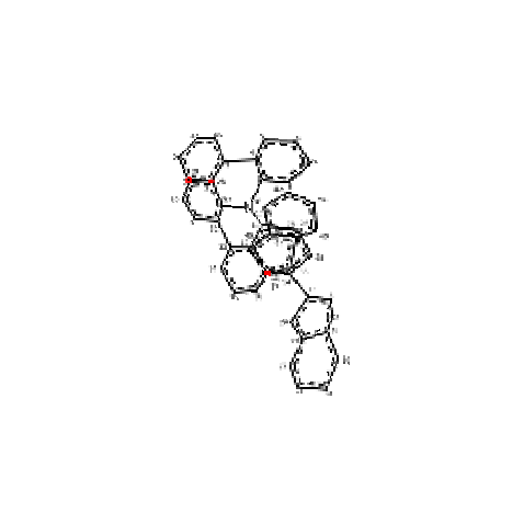 c1ccc(-c2ccccc2N(c2ccc(-c3ccc4ccccc4c3)cc2)c2ccccc2-c2cccc3oc4ccccc4c23)cc1